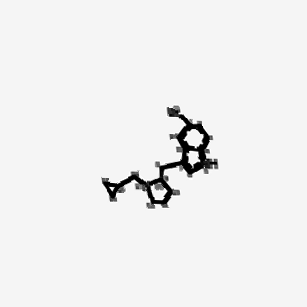 Brc1ccc2[nH]cc(C[C@H]3CCCN3CC3CC3)c2c1